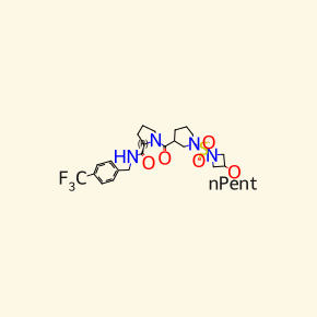 CCCCCOC1CN(S(=O)(=O)N2CCCC(C(=O)N3CCC[C@@H]3C(=O)NCc3ccc(C(F)(F)F)cc3)C2)C1